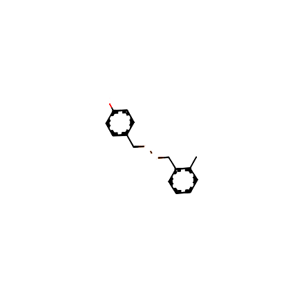 Cc1ccccc1CSSCc1ccc(O)cc1